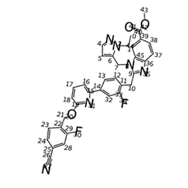 CCn1nccc1Cn1c(Cc2ccc(-c3cccc(OCc4ccc(C#N)cc4F)n3)cc2F)nc2ccc(C(=O)OC)cc21